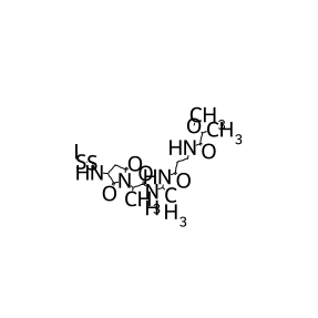 COC(C)C(=O)NCCC(=O)NC(C)NC(=O)C(C)N1C(=O)CC(NSSI)C1=O